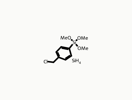 CO[Si](OC)(OC)c1ccc(CCl)cc1.[SiH4]